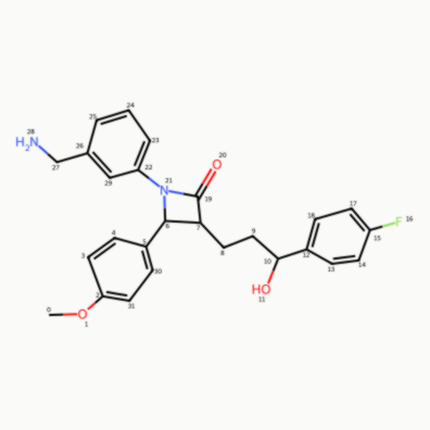 COc1ccc(C2C(CCC(O)c3ccc(F)cc3)C(=O)N2c2cccc(CN)c2)cc1